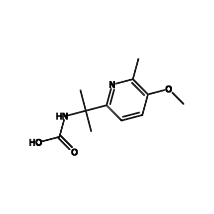 COc1ccc(C(C)(C)NC(=O)O)nc1C